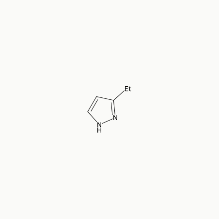 [CH]Cc1cc[nH]n1